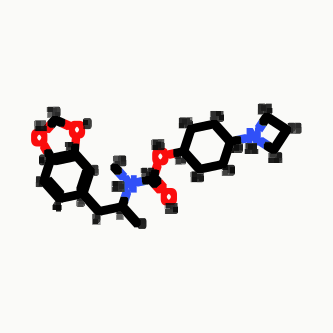 CC(Cc1ccc2c(c1)OCO2)N(C)C(=O)OC1CCC(N2CCC2)CC1